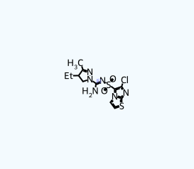 CCC1CN(/C(N)=N/S(=O)(=O)c2c(Cl)nc3sccn23)N=C1C